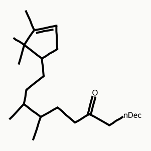 CCCCCCCCCCCC(=O)CCC(C)C(C)CCC1CC=C(C)C1(C)C